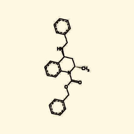 C[C@H]1C[C@H](NCc2ccccc2)c2ccccc2N1C(=O)OCc1ccccc1